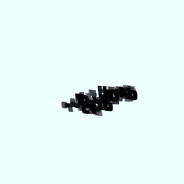 C=C/C=C/c1nccc(-c2cccc(NC(=O)c3ccc(CN4CCOCC4)cn3)c2C)c1C#N